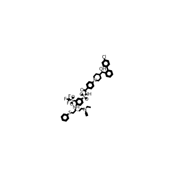 C#CN(CC)CC[C@H](CSc1ccccc1)Nc1ccc(S(=O)(=O)NC(=O)c2ccc(N3CCC([C@@H](O)c4ccccc4-c4ccc(Cl)cc4)CC3)cc2)cc1S(=O)(=O)C(F)(F)F